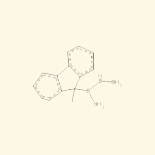 BBB(B)C1(C)c2ccccc2-c2ccccc21